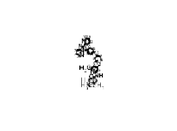 Cc1cc(CN2CCC(Oc3ccc(-n4c(-c5ccccn5)nc5cccnc54)cc3)CC2)cc(NC(=O)OC(C)(C)C)n1